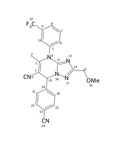 [C-]#[N+]C1=C(C)N(c2cccc(C(F)(F)F)c2)c2nc(COC)nn2C1c1ccc(C#N)cc1